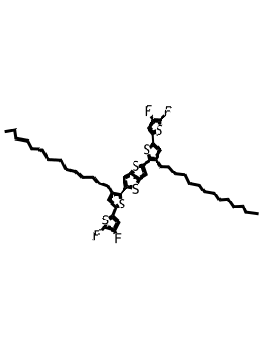 CCCCCCCCCCCCCCc1cc(-c2cc(F)c(F)s2)sc1-c1cc2sc(-c3sc(-c4cc(F)c(F)s4)cc3CCCCCCCCCCCCCC)cc2s1